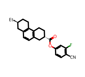 CC[C@H]1CCc2c(ccc3c2CC[C@H](C(=O)Oc2ccc(C#N)c(F)c2)C3)C1